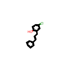 Oc1ccc(Cl)cc1CC=Cc1ccccc1